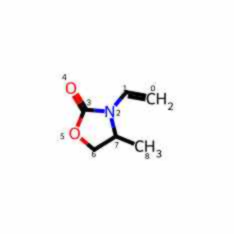 C=CN1C(=O)OCC1C